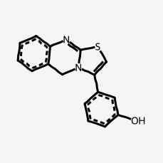 Oc1cccc(C2=CSC3=Nc4ccccc4CN23)c1